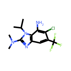 CC(C)n1c(N(C)C)nc2cc(C(F)(F)F)c(Cl)c(N)c21